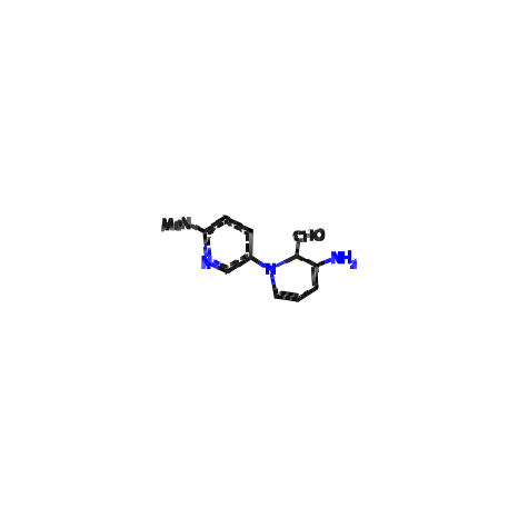 CNc1ccc(N2C=CC=C(N)C2C=O)cn1